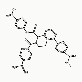 CNC(=O)c1ccc(-c2cccc3c2CCN(C(=O)c2ccc(C(=N)N)cc2)C3C(=O)Nc2ccc(C(=O)O)cc2)cc1